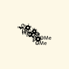 C=CC(=O)Nc1ccccc1Nc1cc2c(cn1)CN(c1c(F)c(OC)cc(OC)c1F)C(=O)C21CCCC1